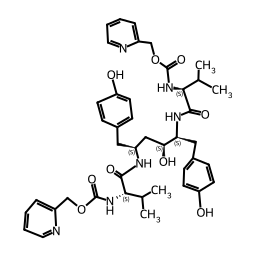 CC(C)[C@H](NC(=O)OCc1ccccn1)C(=O)N[C@@H](Cc1ccc(O)cc1)C[C@H](O)[C@H](Cc1ccc(O)cc1)NC(=O)[C@@H](NC(=O)OCc1ccccn1)C(C)C